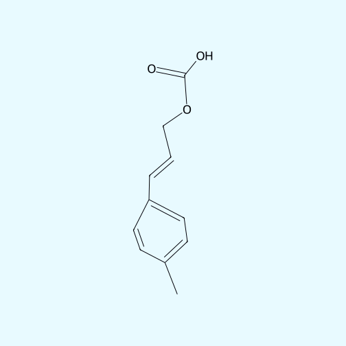 Cc1ccc(C=CCOC(=O)O)cc1